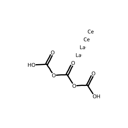 O=C(O)OC(=O)OC(=O)O.[Ce].[Ce].[La].[La]